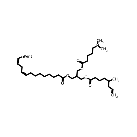 C=CCC(C)CCCC(=O)OCC(COC(=O)CCCCCCC/C=C\C/C=C\CCCCC)COC(=O)CCCCN(C)C